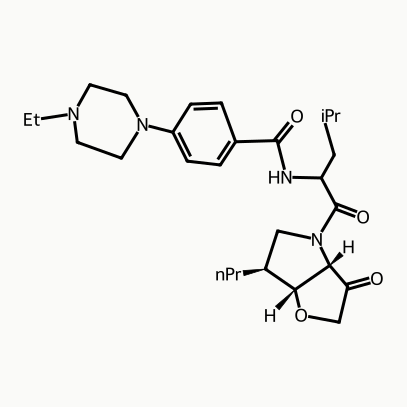 CCC[C@H]1CN(C(=O)C(CC(C)C)NC(=O)c2ccc(N3CCN(CC)CC3)cc2)[C@@H]2C(=O)CO[C@H]12